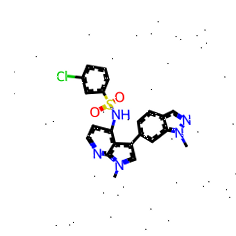 Cn1cc(-c2ccc3cnn(C)c3c2)c2c(NS(=O)(=O)c3cccc(Cl)c3)ccnc21